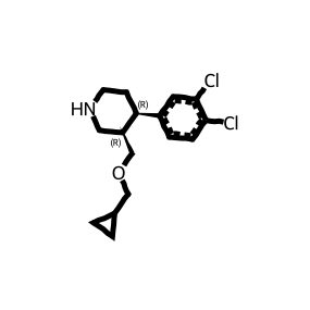 Clc1ccc([C@@H]2CCNC[C@@H]2COCC2CC2)cc1Cl